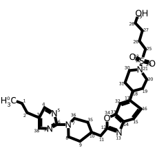 CCCc1cnc(N2CCC(Cc3nc4ccc(C5CCN(S(=O)(=O)CCCCO)CC5)cc4o3)CC2)nc1